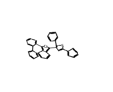 c1ccc(-c2cc(-c3oc(-c4ccccc4-c4ccccc4)c4ccccc34)c(-c3ccccc3)s2)cc1